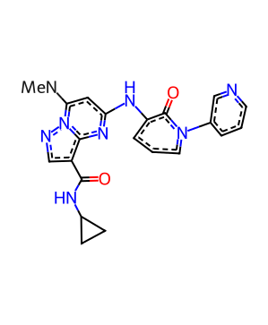 CNc1cc(Nc2cccn(-c3cccnc3)c2=O)nc2c(C(=O)NC3CC3)cnn12